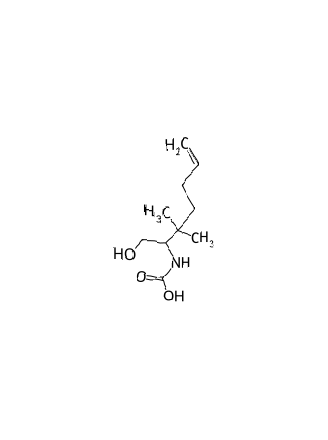 C=CCCC(C)(C)C(CO)NC(=O)O